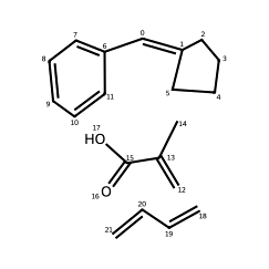 C(=C1CCCC1)c1ccccc1.C=C(C)C(=O)O.C=CC=C